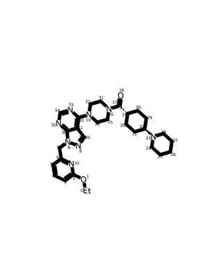 CCOc1cccc(Cn2ncc3c(N4CCN(C(=O)[C@H]5CC[C@H](N6CCCCC6)CC5)CC4)ncnc32)n1